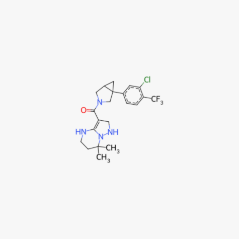 CC1(C)CCNC2=C(C(=O)N3CC4CC4(c4ccc(C(F)(F)F)c(Cl)c4)C3)CNN21